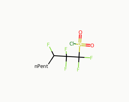 CCCCCC(F)C(F)(F)C(F)(F)S(=O)(=O)Cl